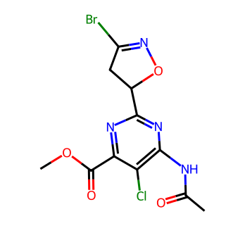 COC(=O)c1nc(C2CC(Br)=NO2)nc(NC(C)=O)c1Cl